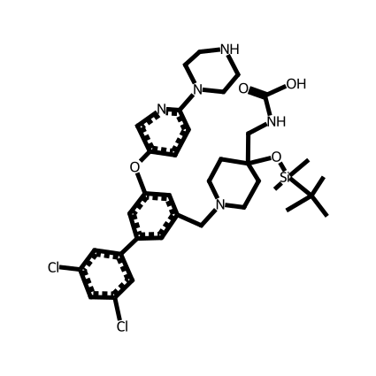 CC(C)(C)[Si](C)(C)OC1(CNC(=O)O)CCN(Cc2cc(Oc3ccc(N4CCNCC4)nc3)cc(-c3cc(Cl)cc(Cl)c3)c2)CC1